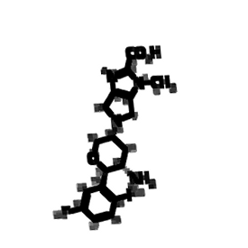 Cn1c(C(=O)O)nc2c1CN([C@H]1CO[C@H](c3cc(F)ccc3F)[C@@H](N)C1)C2